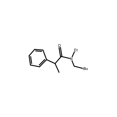 CCC(C)CN(CC)C(=O)C(C)c1ccccc1